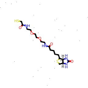 O=C(CS)NCCOCCOCCNC(=O)CCCCC1SC[C@@H]2NC(=O)N[C@H]12